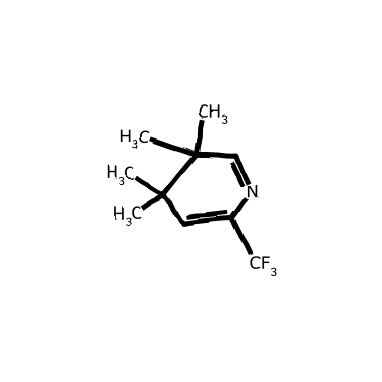 CC1(C)C=NC(C(F)(F)F)=CC1(C)C